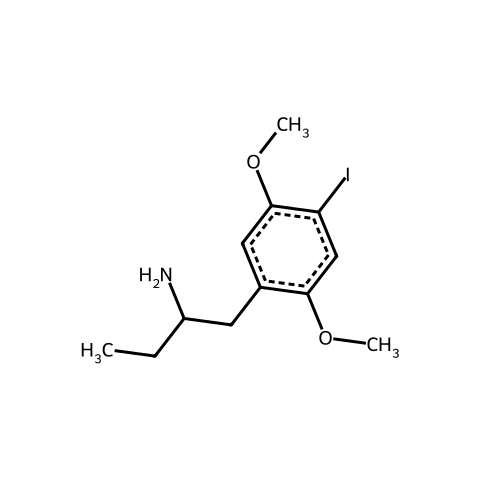 CCC(N)Cc1cc(OC)c(I)cc1OC